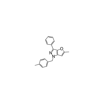 Cc1ccc(Cn2nc(-c3ccccc3)c3oc(C)cc32)cc1